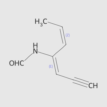 C#C/C=C(\C=C/C)NC=O